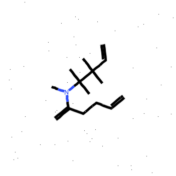 C=CCCC(=C)N(C)C(C)(C)C(C)(C)C=C